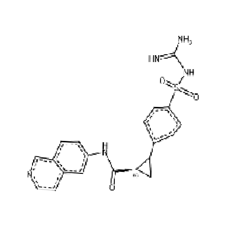 N=C(N)NS(=O)(=O)c1ccc(C2C[C@H]2C(=O)Nc2ccc3cnccc3c2)cc1